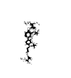 C=C(C)C(=O)OCCCc1ccc2c(sc3c(OC(F)(F)F)c(OC(=O)C(=C)C)ccc32)c1OC(F)(F)F